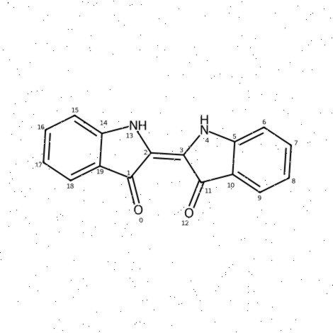 O=C1/C(=C2/Nc3ccccc3C2=O)Nc2ccccc21